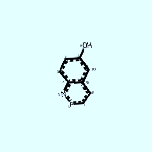 Oc1ccc2npccc2c1